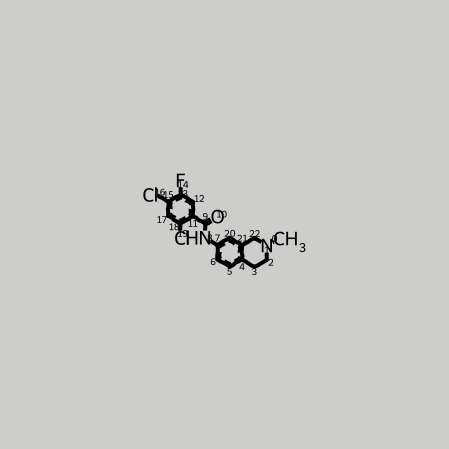 CN1CCc2ccc(NC(=O)c3cc(F)c(Cl)cc3Cl)cc2C1